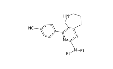 CCN(CC)c1nc2c(c(-c3ccc(C#N)cc3)n1)CNCCC2